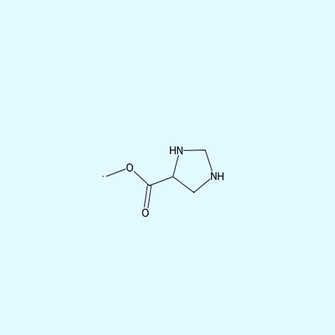 [CH2]OC(=O)C1CNCN1